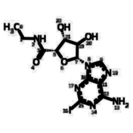 CCNC(=O)[C@H]1O[C@@H](n2cnc3c(N)nc(I)nc32)C(O)[C@H]1O